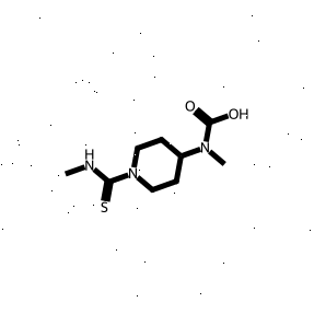 CNC(=S)N1CCC(N(C)C(=O)O)CC1